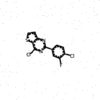 Fc1cc(-c2nc(Cl)c3sccc3n2)ccc1Cl